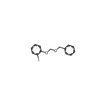 Ic1ccccc1OCOCc1ccccc1